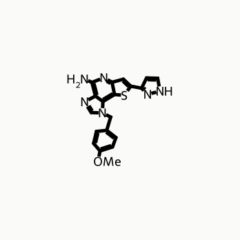 COc1ccc(Cn2cnc3c(N)nc4cc(-c5cc[nH]n5)sc4c32)cc1